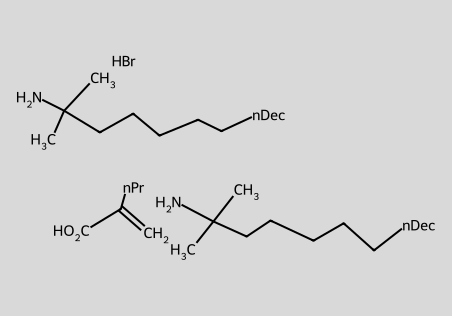 Br.C=C(CCC)C(=O)O.CCCCCCCCCCCCCCCC(C)(C)N.CCCCCCCCCCCCCCCC(C)(C)N